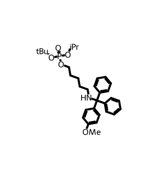 COc1ccc(C(NCCCCCOP(=O)(OC(C)C)OC(C)(C)C)(c2ccccc2)c2ccccc2)cc1